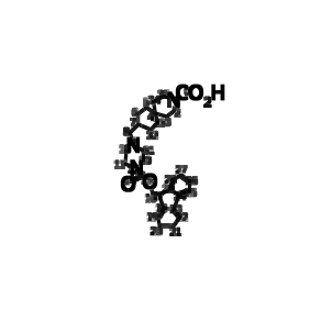 O=C(O)N1CCC2(CCC(CN3CCN(C(=O)OCC4c5ccccc5-c5ccccc54)CC3)CC2)CC1